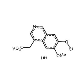 CCOc1cc2cncc(CC(=O)O)c2cc1OC.[LiH]